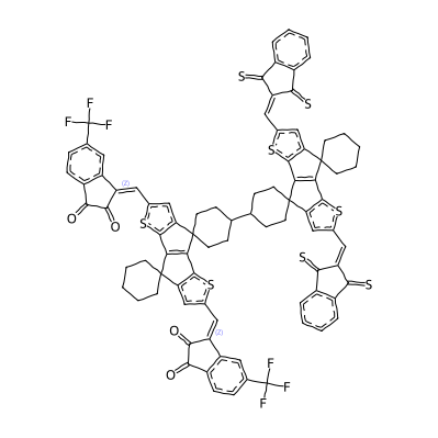 O=C1C(=O)c2ccc(C(F)(F)F)cc2/C1=C/c1cc2c(s1)C1=C(c3sc(/C=C4\C(=O)C(=O)c5ccc(C(F)(F)F)cc54)cc3C13CCC(C1CCC4(CC1)C1=C(c5sc(C=C6C(=S)c7ccccc7C6=S)cc54)C4(CCCCC4)c4cc(C=C5C(=S)c6ccccc6C5=S)sc41)CC3)C21CCCCC1